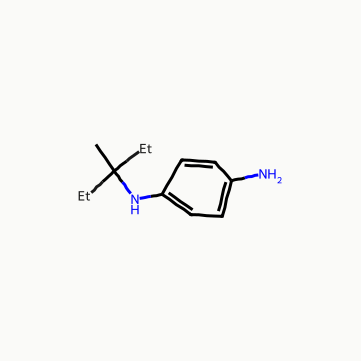 CCC(C)(CC)Nc1ccc(N)cc1